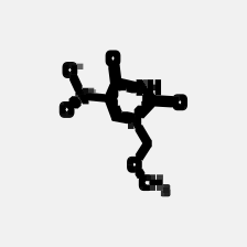 COCn1cc([N+](=O)[O-])c(=O)[nH]c1=O